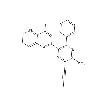 CC#Cc1nc(-c2cc(Cl)c3ncccc3c2)c(-c2ccccc2)nc1N